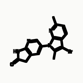 Cc1ccc2c(Br)c(C)n(-c3cnc4c(c3)CC(=O)N4)c2n1